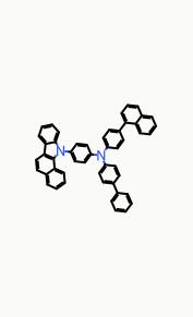 c1ccc(-c2ccc(N(c3ccc(-c4cccc5ccccc45)cc3)c3ccc(-n4c5ccccc5c5ccc6ccccc6c54)cc3)cc2)cc1